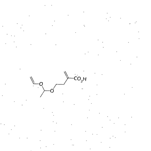 C=COC(C)OCCC(=C)C(=O)O